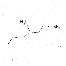 CCC[C](N)CCN